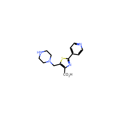 O=C(O)c1nc(-c2ccncc2)sc1CN1CCNCC1